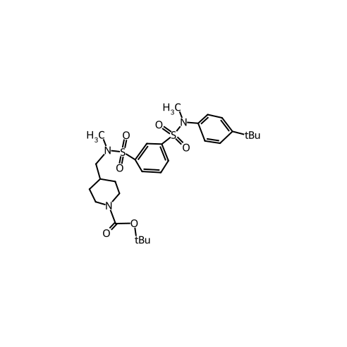 CN(CC1CCN(C(=O)OC(C)(C)C)CC1)S(=O)(=O)c1cccc(S(=O)(=O)N(C)c2ccc(C(C)(C)C)cc2)c1